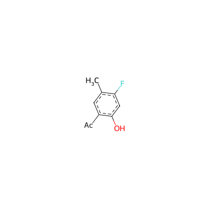 CC(=O)c1cc(C)c(F)cc1O